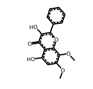 COc1cc(O)c2c(=O)c(O)c(-c3ccccc3)oc2c1OC